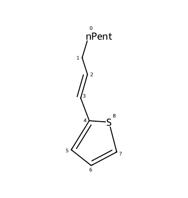 CCCCCC/C=C/c1cccs1